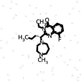 CCC[C@H](c1nc2c(F)cccc2c(=O)n1CC)N1CCCN(C)CC1